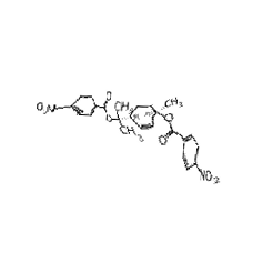 CC(C)(OC(=O)c1ccc([N+](=O)[O-])cc1)[C@H]1C=C[C@](C)(OC(=O)c2ccc([N+](=O)[O-])cc2)CC1